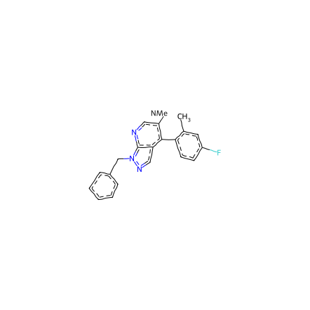 CNc1cnc2c(cnn2Cc2ccccc2)c1-c1ccc(F)cc1C